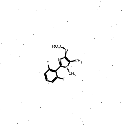 Cc1c(OC(=O)O)nc(-c2c(F)cccc2F)n1C